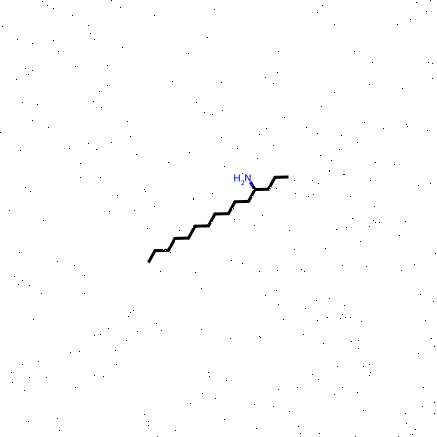 CCCCCCCCCCCC(N)CCC